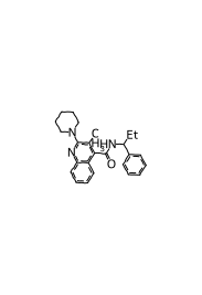 CCC(NC(=O)c1c(C)c(N2CCCCC2)nc2ccccc12)c1ccccc1